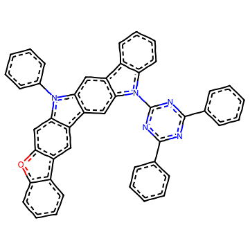 c1ccc(-c2nc(-c3ccccc3)nc(-n3c4ccccc4c4cc5c(cc43)c3cc4c(cc3n5-c3ccccc3)oc3ccccc34)n2)cc1